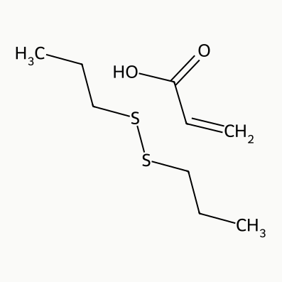 C=CC(=O)O.CCCSSCCC